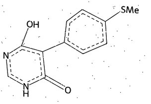 CSc1ccc(-c2c(O)nc[nH]c2=O)cc1